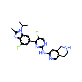 Cc1nc2c(F)cc(-c3nc(Nc4cc5c(cn4)CCNC5)ncc3F)cc2n1C(C)C